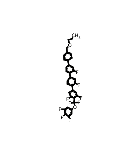 CCCOCc1ccc(-c2ccc(-c3ccc(-c4cc(F)c(C(F)(F)Oc5cc(F)c(F)c(F)c5)c(F)c4)c(F)c3)c(F)c2)cc1